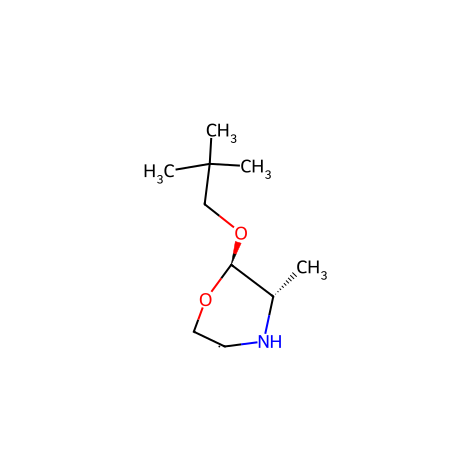 C[C@@H]1N[CH]CO[C@H]1OCC(C)(C)C